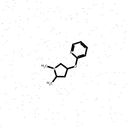 CC1CC(Oc2ccccn2)CN1C